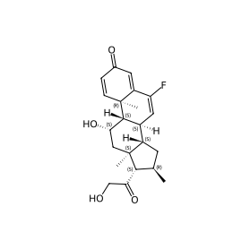 C[C@@H]1C[C@H]2[C@@H]3C=C(F)C4=CC(=O)C=C[C@]4(C)[C@H]3[C@@H](O)C[C@]2(C)[C@H]1C(=O)CO